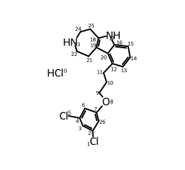 Cl.Clc1cc(Cl)cc(OCCCc2cccc3[nH]c4c(c23)CCNCC4)c1